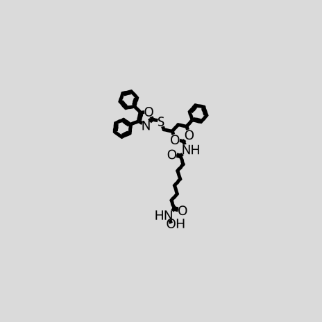 O=C(CCCCCCC(=O)NC1OC(CSc2nc(-c3ccccc3)c(-c3ccccc3)o2)CC(c2ccccc2)O1)NO